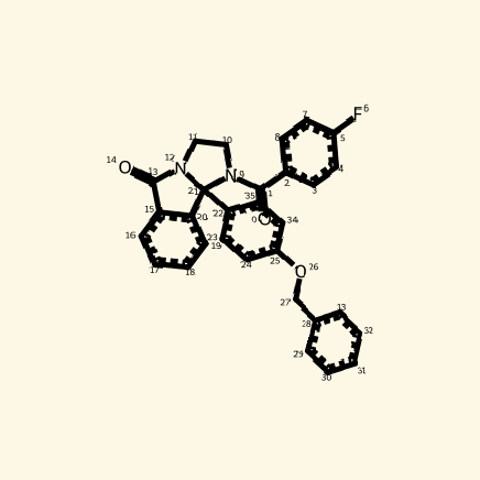 O=C(c1ccc(F)cc1)N1CCN2C(=O)c3ccccc3C12c1ccc(OCc2ccccc2)cc1